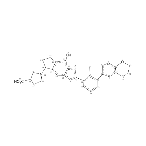 Cc1c(-c2ccc3c(c2)OCCO3)cccc1-c1cc2cc3c(c(C#N)c2o1)CCC3N1CCC(C(=O)O)C1